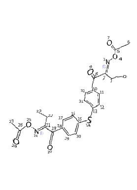 CC/C(=N\OC(C)=O)C(=O)c1ccc(Sc2ccc(C(=O)/C(CC)=N/OC(C)=O)cc2)cc1